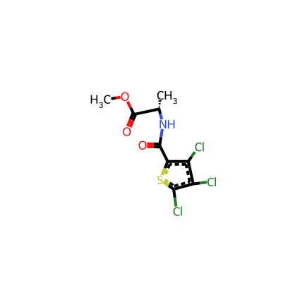 COC(=O)[C@H](C)NC(=O)c1sc(Cl)c(Cl)c1Cl